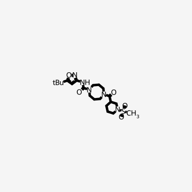 CC(C)(C)c1cc(NC(=O)N2CCCN(C(=O)C3CCCN(S(C)(=O)=O)C3)CCC2)no1